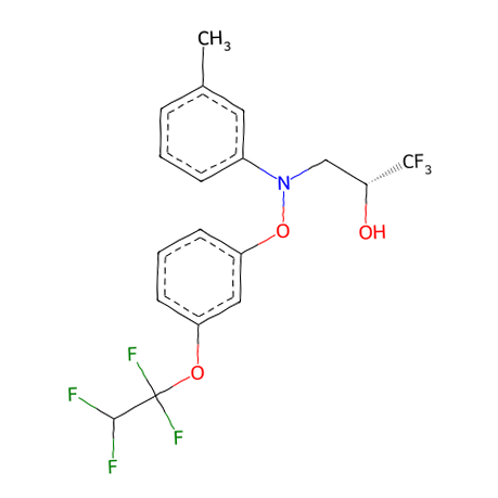 Cc1cccc(N(C[C@@H](O)C(F)(F)F)Oc2cccc(OC(F)(F)C(F)F)c2)c1